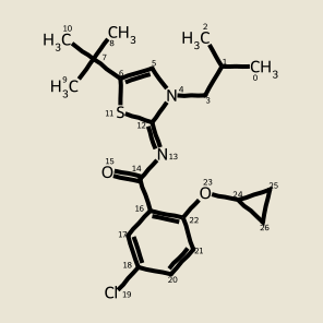 CC(C)Cn1cc(C(C)(C)C)sc1=NC(=O)c1cc(Cl)ccc1OC1CC1